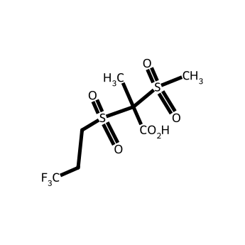 CC(C(=O)O)(S(C)(=O)=O)S(=O)(=O)CCC(F)(F)F